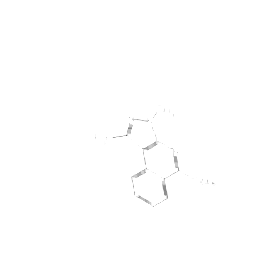 COc1nc2c(c(C)nn2C)c2ccccc12